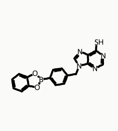 Sc1ncnc2c1ncn2Cc1ccc(B2Oc3ccccc3O2)cc1